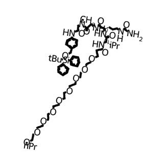 CCCOCCOCCOCCOCCOCCOCCOCCOCCOCCC(=O)N[C@H](C(=O)N[C@@H](CCCNC(N)=O)C(=O)NCC(=O)N(C)CC(=O)Nc1ccc(CO[Si](c2ccccc2)(c2ccccc2)C(C)(C)C)cc1)C(C)C